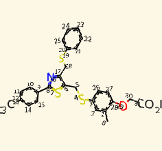 Cc1cc(SCc2sc(-c3ccc(C(F)(F)F)cc3)nc2CSc2ccccc2)ccc1OCC(=O)O